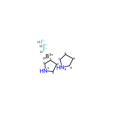 C1CCNC1.C1CCNC1.[B+3].[F-].[F-].[F-]